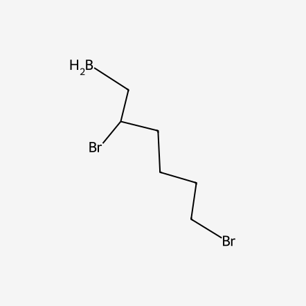 BCC(Br)CCCCBr